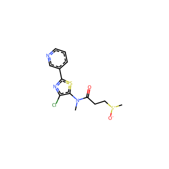 CN(C(=O)CC[S+](C)[O-])c1sc(-c2cccnc2)nc1Cl